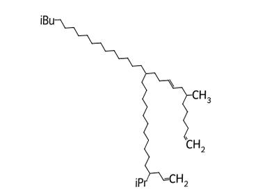 C=CCCCCC(C)CC=CCCC(CCCCCCCCCCCCCC(C)CC)CCCCCCCCCCCC(CC=C)C(C)C